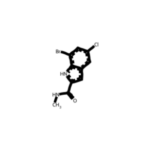 CNC(=O)c1cc2cc(Cl)cc(Br)c2[nH]1